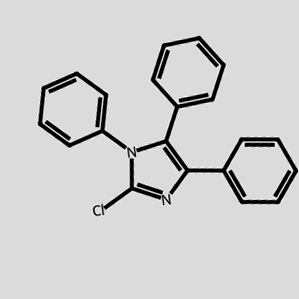 Clc1nc(-c2ccccc2)c(-c2ccccc2)n1-c1ccccc1